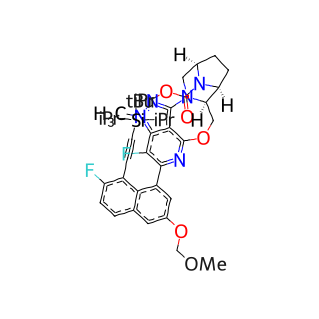 COCOc1cc(-c2nc3c4c(nn(C)c4c2F)N2C[C@H]4CC[C@@H]([C@H]2CO3)N4C(=O)OC(C)(C)C)c2c(C#C[Si](C(C)C)(C(C)C)C(C)C)c(F)ccc2c1